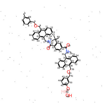 Cc1cccc(COCc2c3ccccc3c(CN(C)C(=O)c3ccc(C(=O)N(C)Cc4c5ccccc5c(COCc5cccc(OBO)c5)c5ccccc45)cc3C(C)(C)C)c3ccccc23)c1